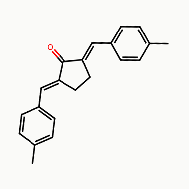 Cc1ccc(/C=C2\CC/C(=C\c3ccc(C)cc3)C2=O)cc1